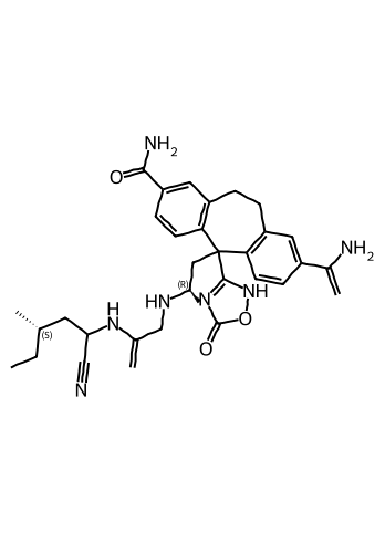 C=C(CN[C@H](C)CC1(c2nc(=O)o[nH]2)c2ccc(C(=C)N)cc2CCc2cc(C(N)=O)ccc21)NC(C#N)C[C@@H](C)CC